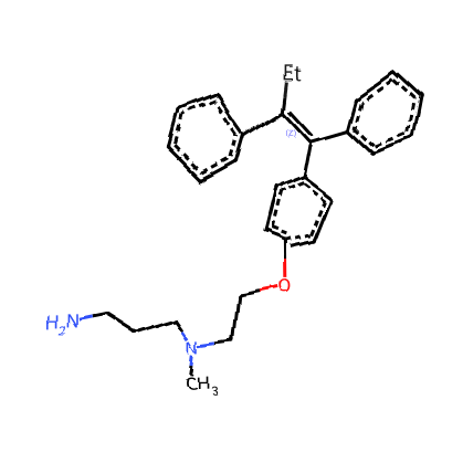 CC/C(=C(\c1ccccc1)c1ccc(OCCN(C)CCCN)cc1)c1ccccc1